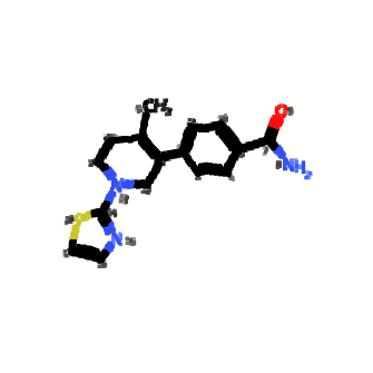 CC1=C(c2ccc(C(N)=O)cc2)CN(c2nccs2)CC1